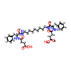 O=C(O)CCC(=O)N[C@@H](Cc1ccccc1)C(=O)NCCCCCCCCCNC(=O)[C@H](Cc1ccccc1)NC(=O)CCC(=O)O